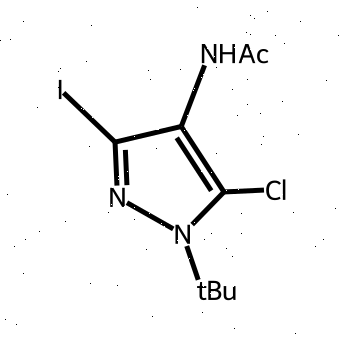 CC(=O)Nc1c(I)nn(C(C)(C)C)c1Cl